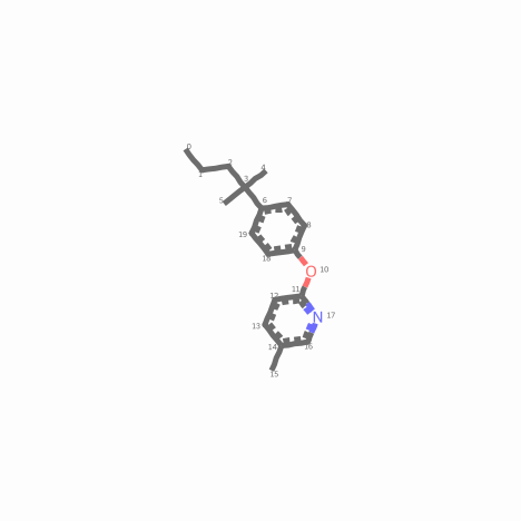 CCCC(C)(C)c1ccc(Oc2ccc(C)cn2)cc1